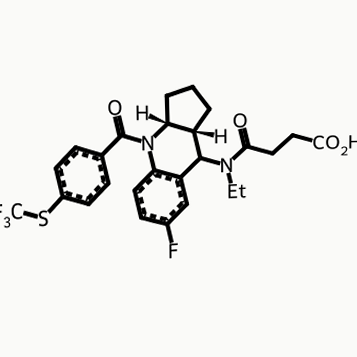 CCN(C(=O)CCC(=O)O)C1c2cc(F)ccc2N(C(=O)c2ccc(SC(F)(F)F)cc2)[C@@H]2CCC[C@H]12